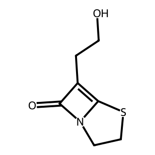 O=C1C(CCO)=C2SCCN12